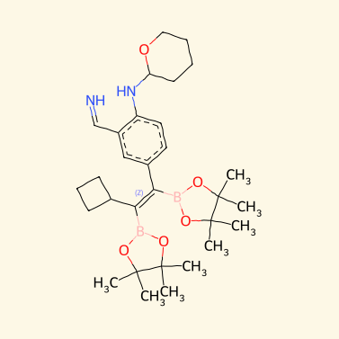 CC1(C)OB(/C(=C(\B2OC(C)(C)C(C)(C)O2)C2CCC2)c2ccc(NC3CCCCO3)c(C=N)c2)OC1(C)C